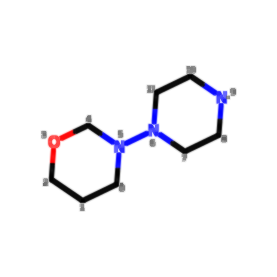 [CH]1CCOCN1N1CC[N]CC1